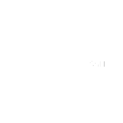 [SnH][CH2]CC1CCC1